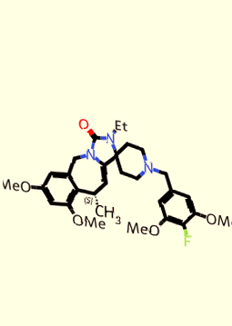 CCN1C(=O)N2Cc3cc(OC)cc(OC)c3[C@@H](C)C=C2C12CCN(Cc1cc(OC)c(F)c(OC)c1)CC2